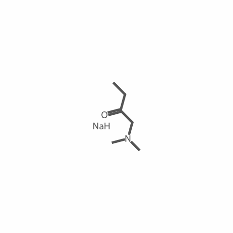 CCC(=O)CN(C)C.[NaH]